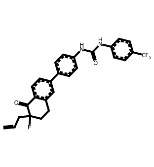 C=CCC1(F)CCc2cc(-c3ccc(NC(=O)Nc4ccc(C(F)(F)F)cc4)cc3)ccc2C1=O